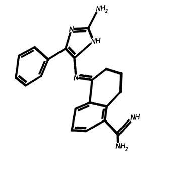 N=C(N)c1cccc2c1CCCC2=Nc1[nH]c(N)nc1-c1ccccc1